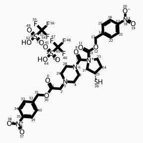 O=C(CN1CCN(C(=O)[N+]2(C(=O)OCc3ccc([N+](=O)[O-])cc3)CC[C@H](S)C2)CC1)OCc1ccc([N+](=O)[O-])cc1.O=S(=O)(O)C(F)(F)F.O=S(=O)(O)C(F)(F)F